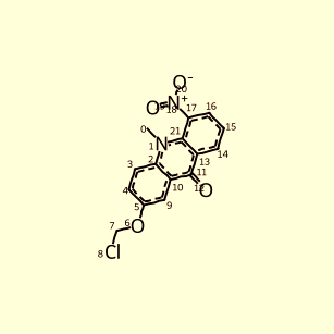 Cn1c2ccc(OCCl)cc2c(=O)c2cccc([N+](=O)[O-])c21